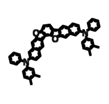 Cc1ccc(N(c2ccccc2)c2ccc3cc4c(cc3c2)oc2c4ccc3oc4cc5cc(N(c6ccccc6)c6ccc(C)c(C)c6)ccc5cc4c32)cc1C